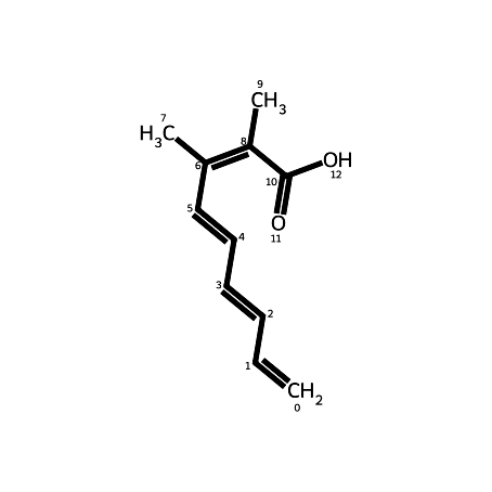 C=CC=CC=CC(C)=C(C)C(=O)O